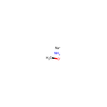 C[O-].N.[Na+]